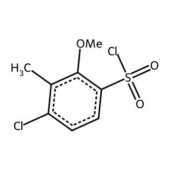 COc1c(S(=O)(=O)Cl)ccc(Cl)c1C